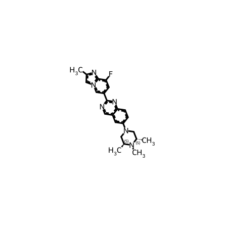 Cc1cn2cc(-c3ncc4cc(N5C[C@H](C)N(C)[C@@H](C)C5)ccc4n3)cc(F)c2n1